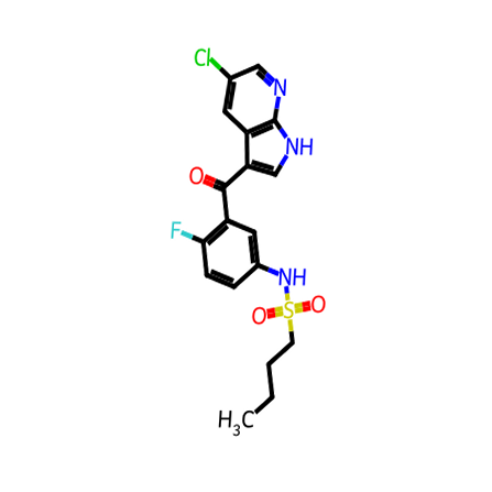 CCCCS(=O)(=O)Nc1ccc(F)c(C(=O)c2c[nH]c3ncc(Cl)cc23)c1